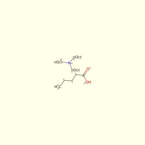 CCCCC(=O)O.CCCCCCCCN(CCCCCCCC)CCCCCCCC